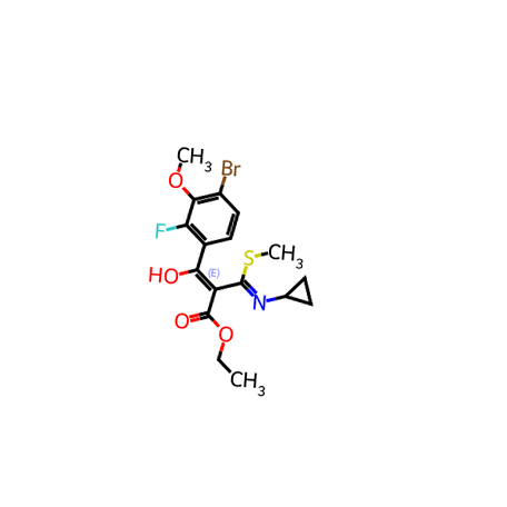 CCOC(=O)/C(C(=NC1CC1)SC)=C(\O)c1ccc(Br)c(OC)c1F